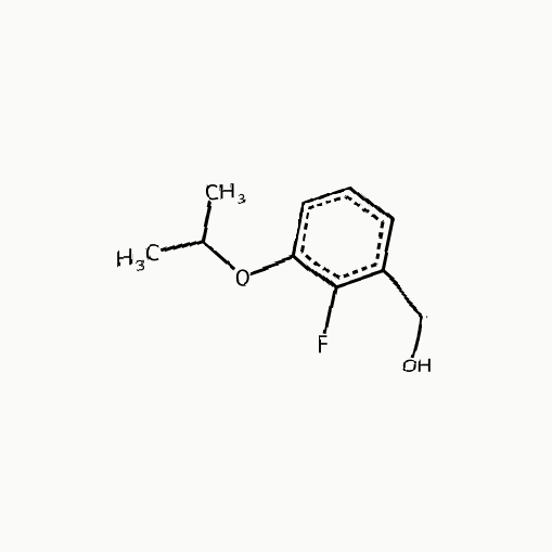 CC(C)Oc1cccc([CH]O)c1F